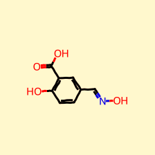 O=C(O)c1cc(C=NO)ccc1O